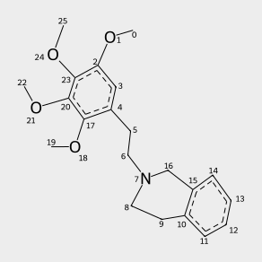 COc1cc(CCN2CCc3ccccc3C2)c(OC)c(OC)c1OC